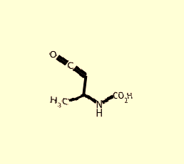 CC(C=C=O)NC(=O)O